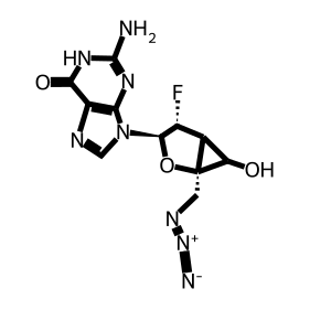 [N-]=[N+]=NC[C@]12O[C@@H](n3cnc4c(=O)[nH]c(N)nc43)[C@H](F)C1C2O